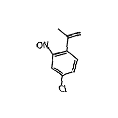 C=C(C)c1ccc(Cl)cc1N=O